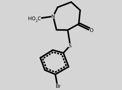 O=C1CCCN(C(=O)O)CC1Sc1cccc(Br)c1